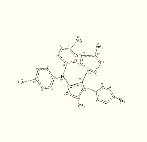 Nc1ccc(-c2c(N)oc(N(c3ccc(N)cc3)c3ccc(N)cc3)c2-c2ccc(N)cc2)cc1